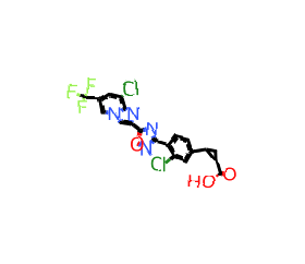 O=C(O)C1CC1c1ccc(-c2noc(-c3cn4cc(C(F)(F)F)cc(Cl)c4n3)n2)c(Cl)c1